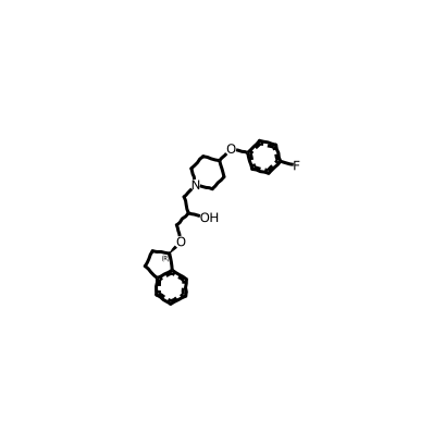 OC(CO[C@@H]1CCc2ccccc21)CN1CCC(Oc2ccc(F)cc2)CC1